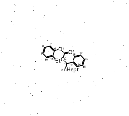 CCCCCCCC(OC(=O)Oc1ccccc1CC)c1ccccc1